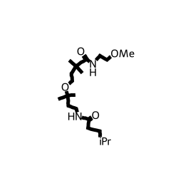 COCCNC(=O)C(C)(C)CCOC(C)(C)CCNC(=O)CCC(C)C